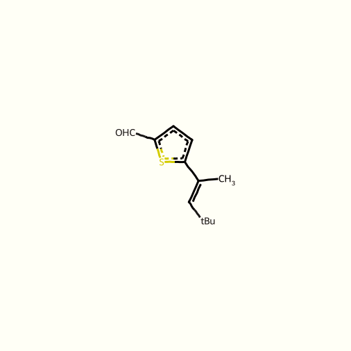 C/C(=C\C(C)(C)C)c1ccc(C=O)s1